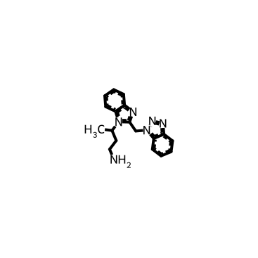 CC(CCN)n1c(Cn2nnc3ccccc32)nc2ccccc21